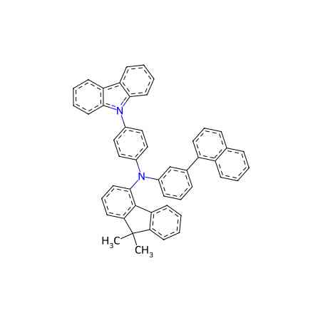 CC1(C)c2ccccc2-c2c(N(c3ccc(-n4c5ccccc5c5ccccc54)cc3)c3cccc(-c4cccc5ccccc45)c3)cccc21